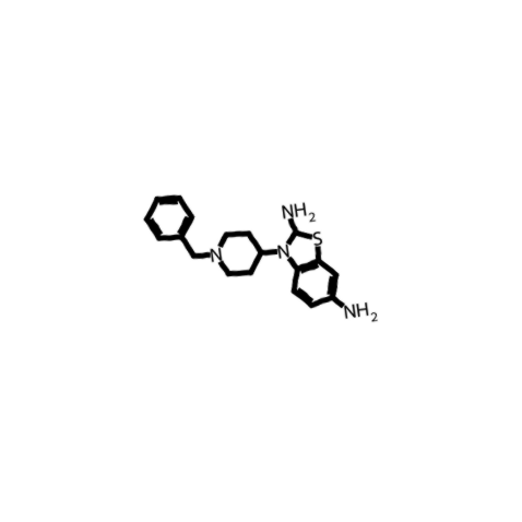 Nc1ccc2c(c1)SC(N)N2C1CCN(Cc2ccccc2)CC1